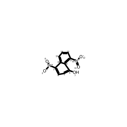 O=[N+]([O-])c1ccc(O)c2c([N+](=O)[O-])cccc12